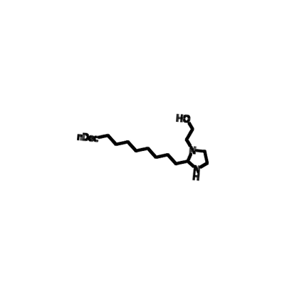 CCCCCCCCCCCCCCCCCCC1NCCN1CCO